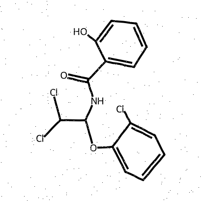 O=C(NC(Oc1ccccc1Cl)C(Cl)Cl)c1ccccc1O